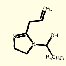 C=CCC1=NCCN1C(C)O.Cl